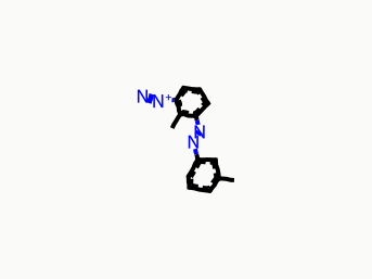 Cc1cccc(N=Nc2cccc([N+]#N)c2C)c1